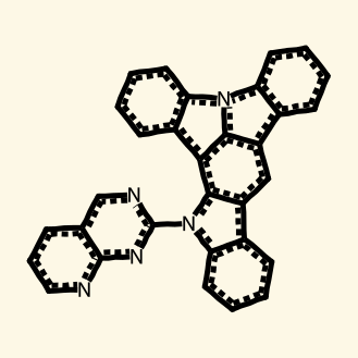 c1cnc2nc(-n3c4ccccc4c4cc5c6ccccc6n6c7ccccc7c(c43)c56)ncc2c1